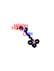 O=C(NCCCCCC[PH](c1ccccc1)(c1ccccc1)c1ccccc1)c1ccc[n+]([C@@H]2O[C@H](CO)[C@@H](O)[C@H]2O)c1